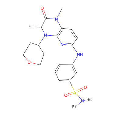 CCN(CC)S(=O)(=O)c1cccc(Nc2ccc3c(n2)N(C2CCOCC2)[C@H](C)C(=O)N3C)c1